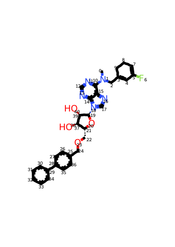 CN(CC1=CC(F)=CCC1)c1ncnc2c1ncn2[C@@H]1O[C@H](COCc2ccc(-c3ccccc3)cc2)[C@@H](O)[C@H]1O